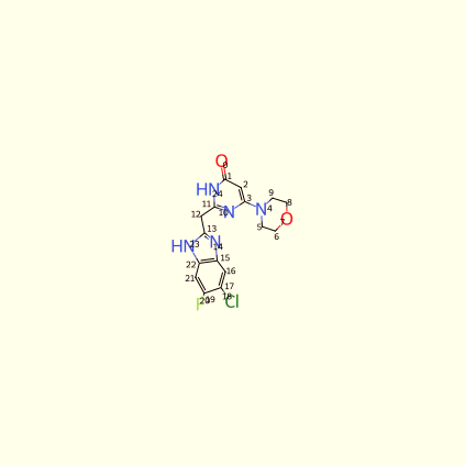 O=c1cc(N2CCOCC2)nc(Cc2nc3cc(Cl)c(F)cc3[nH]2)[nH]1